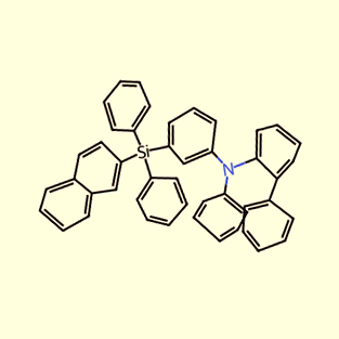 c1ccc(-c2ccccc2N(c2ccccc2)c2cccc([Si](c3ccccc3)(c3ccccc3)c3ccc4ccccc4c3)c2)cc1